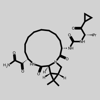 CC(C)[C@H](NC(=O)N[C@H]1CCCCCCCC[C@@H](C(=O)C(N)=O)NC(=O)[C@@H]2[C@@H]3[C@H](CN2C1=O)C3(C)C)C(=O)C1CC1